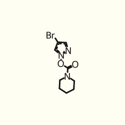 O=C(On1cc(Br)cn1)N1CCCCC1